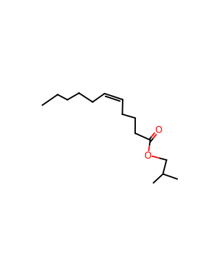 CCCCC/C=C\CCCC(=O)OCC(C)C